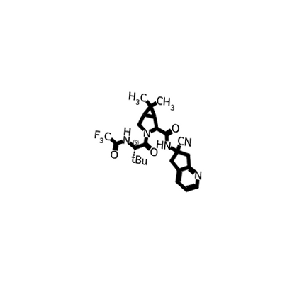 CC1(C)C2CN(C(=O)[C@@H](NC(=O)C(F)(F)F)C(C)(C)C)C(C(=O)NC3(C#N)Cc4cccnc4C3)C21